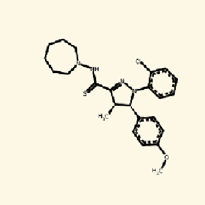 COc1ccc([C@H]2[C@@H](C)C(C(=S)NN3CCCCCC3)=NN2c2ccccc2Cl)cc1